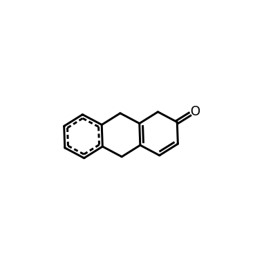 O=C1C=CC2=C(C1)Cc1ccccc1C2